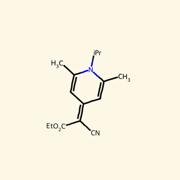 CCOC(=O)C(C#N)=C1C=C(C)N(C(C)C)C(C)=C1